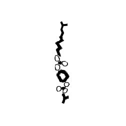 CC(C)CCCCCCCCOC(=O)OC1CCC(OC(=O)OCC(C)C)CC1